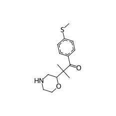 CSc1ccc(C(=O)C(C)(C)C2CNCCO2)cc1